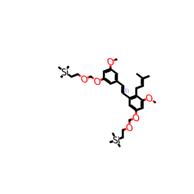 COc1cc(/C=C/c2cc(OCOCC[Si](C)(C)C)cc(OC)c2CC=C(C)C)cc(OCOCC[Si](C)(C)C)c1